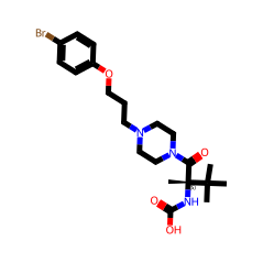 CC(C)(C)[C@](C)(NC(=O)O)C(=O)N1CCN(CCCOc2ccc(Br)cc2)CC1